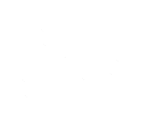 CCOC(=O)C(Cc1c[nH]cn1)N(C)c1c(F)c(Oc2cccc(C3=NCCN3C)c2)nc(Oc2cc(C(=N)N)ccc2O)c1F